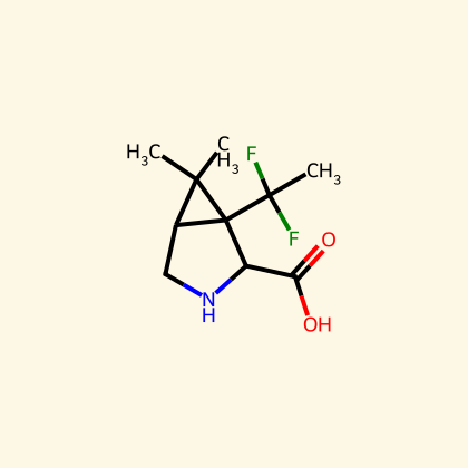 CC(F)(F)C12C(C(=O)O)NCC1C2(C)C